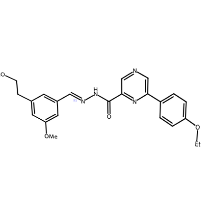 CCOc1ccc(-c2cncc(C(=O)N/N=C/c3cc(CCO)cc(OC)c3)n2)cc1